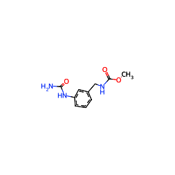 COC(=O)NCc1cccc(NC(N)=O)c1